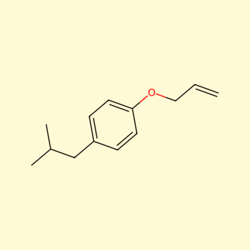 C=CCOc1ccc(CC(C)C)cc1